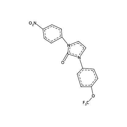 O=c1n(-c2ccc(OC(F)(F)F)cc2)ccn1-c1ccc([N+](=O)[O-])cc1